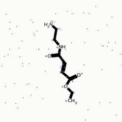 CCOC(=O)/C=C/C(=O)NCCN